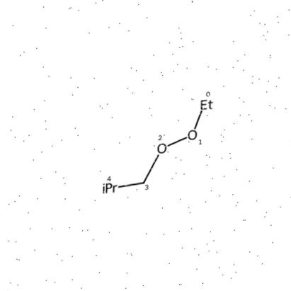 CCOOCC(C)C